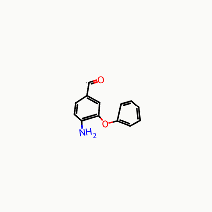 Nc1ccc([C]=O)cc1Oc1ccccc1